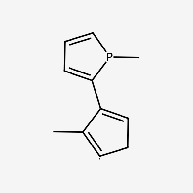 CC1=[C]CC=C1c1cccp1C